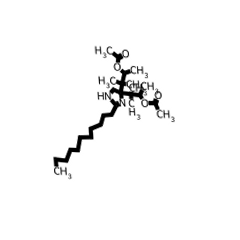 CCCCCCCCCCCC1=NC(C(C)(C)C(C)OC(C)=O)(C(C)(C)C(C)OC(C)=O)CN1